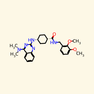 COc1cccc(CNC(=O)[C@H]2CC[C@@H](Nc3nc(N(C)C)c4ccccc4n3)CC2)c1OC